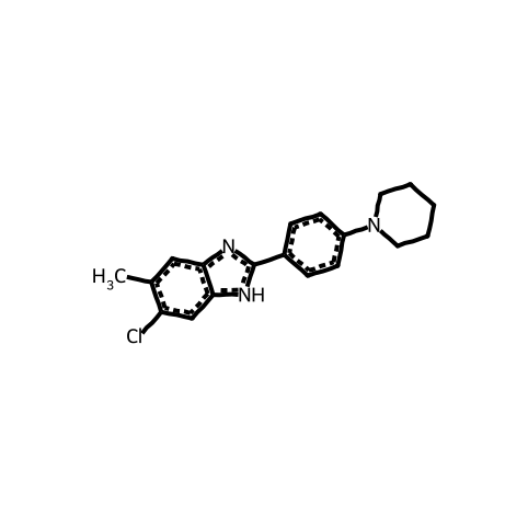 Cc1cc2nc(-c3ccc(N4CCCCC4)cc3)[nH]c2cc1Cl